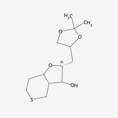 CC1(C)OCC(C[C@H]2OC3CCSCC3C2O)O1